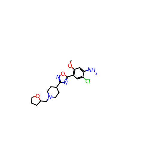 COc1cc(N)c(Cl)cc1-c1nc(C2CCN(CC3CCCO3)CC2)no1